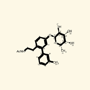 CC(=O)NCCc1ccc(O[C@@H]2O[C@@H](C)[C@@H](O)[C@@H](O)[C@@H]2O)cc1-c1cccc(C)c1